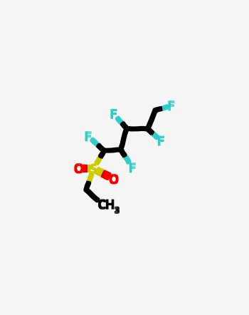 CCS(=O)(=O)C(F)C(F)C(F)C(F)CF